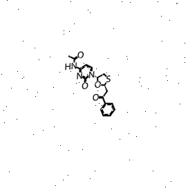 CC(=O)Nc1ccn([C@@H]2CS[C@@H](CC(=O)c3ccccc3)O2)c(=O)n1